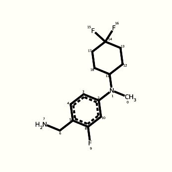 CN(c1ccc(CN)c(F)c1)C1CCC(F)(F)CC1